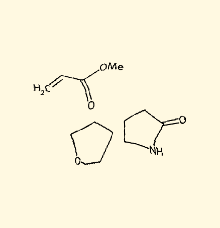 C1CCOC1.C=CC(=O)OC.O=C1CCCN1